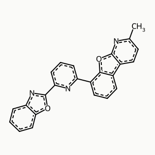 Cc1ccc2c(n1)oc1c(-c3cccc(-c4nc5ccccc5o4)n3)cccc12